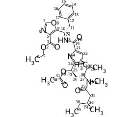 CCOC(=O)c1ncoc1[C@H](Cc1ccccc1)NC(=O)c1csc([C@@H](C[C@H](C(C)C)N(C)C(=O)C[C@@H](C)CC)OC(C)=O)n1